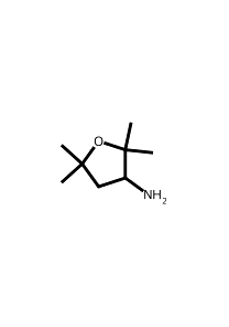 CC1(C)CC(N)C(C)(C)O1